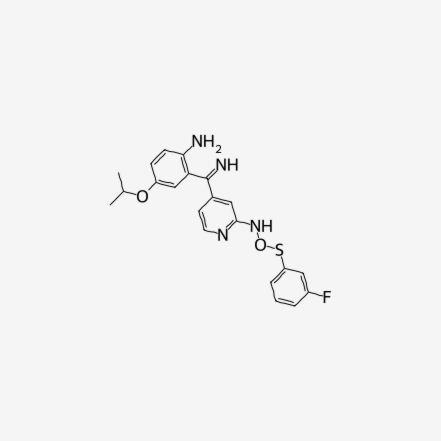 CC(C)Oc1ccc(N)c(C(=N)c2ccnc(NOSc3cccc(F)c3)c2)c1